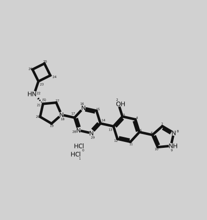 Cl.Cl.Oc1cc(-c2cn[nH]c2)ccc1-c1cnc(N2CC[C@H](NC3CCC3)C2)nn1